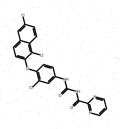 O=C(NC(=O)c1ncccn1)Nc1ccc(Oc2ccc3cc(Cl)ccc3c2Cl)c(Cl)c1